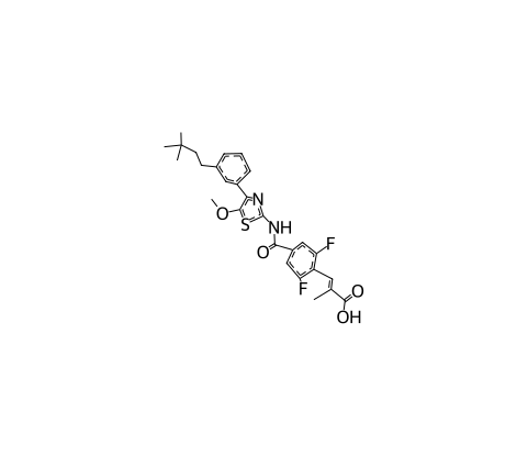 COc1sc(NC(=O)c2cc(F)c(C=C(C)C(=O)O)c(F)c2)nc1-c1cccc(CCC(C)(C)C)c1